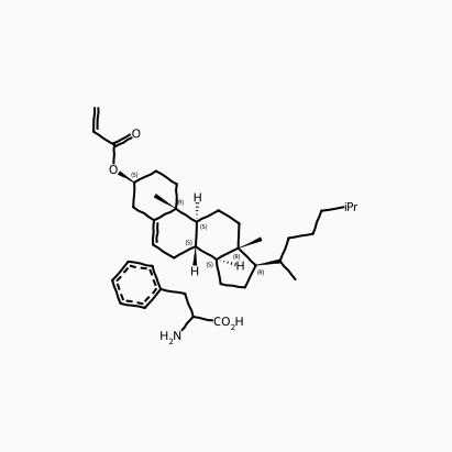 C=CC(=O)O[C@H]1CC[C@@]2(C)C(=CC[C@H]3[C@@H]4CC[C@H](C(C)CCCC(C)C)[C@@]4(C)CC[C@@H]32)C1.NC(Cc1ccccc1)C(=O)O